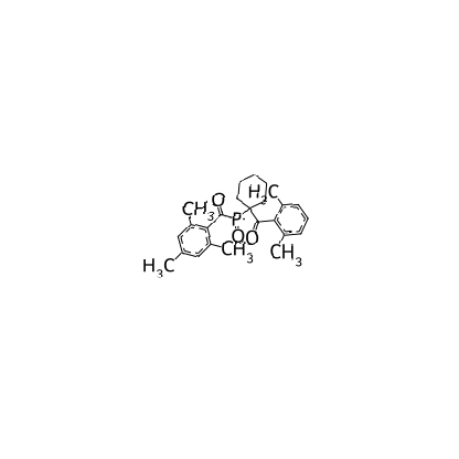 Cc1cc(C)c(C(=O)[P](=O)C2(C(=O)c3c(C)cccc3C)CCCCC2)c(C)c1